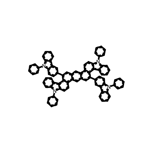 c1ccc(-n2c3ccccc3c3cc(-c4cc5cc6c(cc(-c7ccc8c(c7)c7ccccc7n8-c7ccccc7)c7c6ccc6c7c7ccccc7n6-c6ccccc6)cc5c5ccc6c(c7ccccc7n6-c6ccccc6)c45)ccc32)cc1